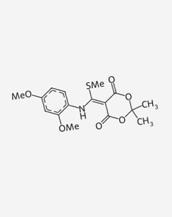 COc1ccc(NC(SC)=C2C(=O)OC(C)(C)OC2=O)c(OC)c1